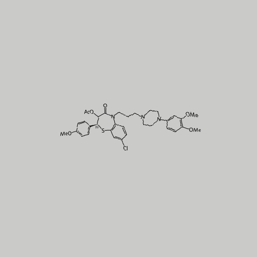 COc1ccc([C@@H]2Sc3cc(Cl)ccc3N(CCCN3CCN(c4ccc(OC)c(OC)c4)CC3)C(=O)C2OC(C)=O)cc1